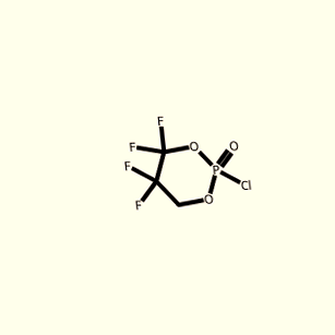 O=P1(Cl)OCC(F)(F)C(F)(F)O1